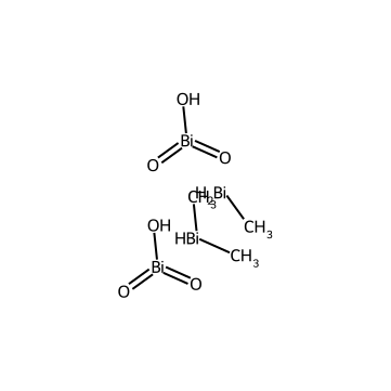 [CH3][BiH2].[CH3][BiH][CH3].[O]=[Bi](=[O])[OH].[O]=[Bi](=[O])[OH]